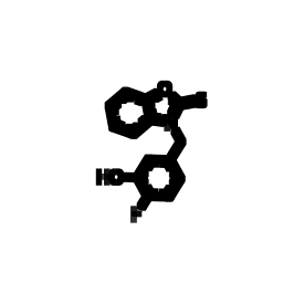 Oc1cc(Cn2c(=S)oc3ccccc32)ccc1F